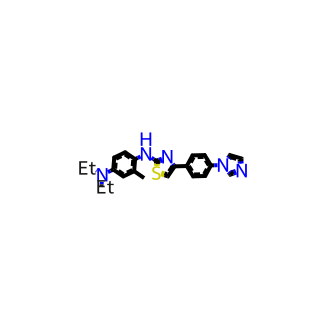 CCN(CC)c1ccc(Nc2nc(-c3ccc(-n4ccnc4)cc3)cs2)c(C)c1